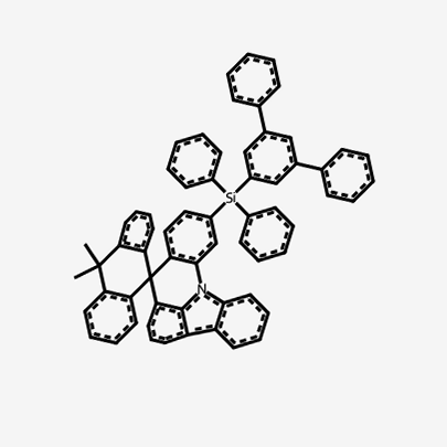 CC1(C)c2ccccc2C2(c3ccc([Si](c4ccccc4)(c4ccccc4)c4cc(-c5ccccc5)cc(-c5ccccc5)c4)cc3-n3c4ccccc4c4cccc2c43)c2ccccc21